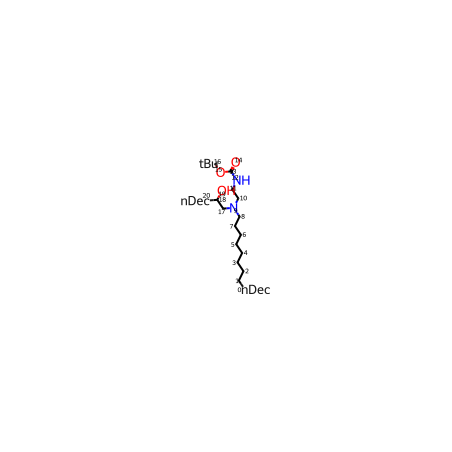 CCCCCCCCCCCCCCCCCCN(CCNC(=O)OC(C)(C)C)CC(O)CCCCCCCCCC